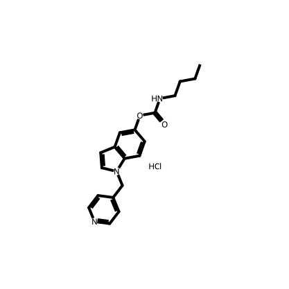 CCCCNC(=O)Oc1ccc2c(ccn2Cc2ccncc2)c1.Cl